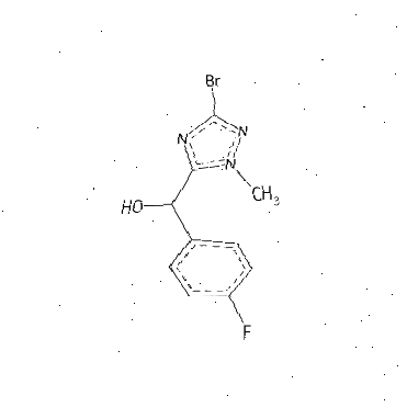 Cn1nc(Br)nc1C(O)c1ccc(F)cc1